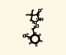 CC1(C)CONC1=O.ClCc1ccccc1Cl